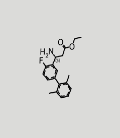 CCOC(=O)C[C@H](N)c1cc(-c2c(C)cccc2C)ccc1F